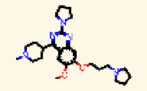 COc1cc2c(C3CCN(C)CC3)nc(N3CCCC3)nc2cc1OCCCN1CCCC1